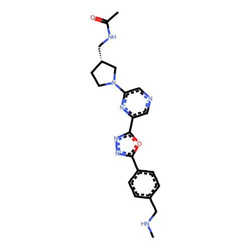 CNCc1ccc(-c2nnc(-c3cncc(N4CC[C@H](CNC(C)=O)C4)n3)o2)cc1